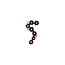 C1=CCC(C2CC3Oc4ccc(-c5ccc6c(c5)SC5CCc7oc8ccc(-c9ccccc9)cc8c7C65)cc4C3C2)C=C1